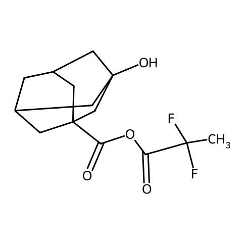 CC(F)(F)C(=O)OC(=O)C12CC3CC(CC(O)(C3)C1)C2